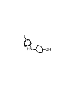 OC1CCC(Nc2ccc(I)cc2)CC1